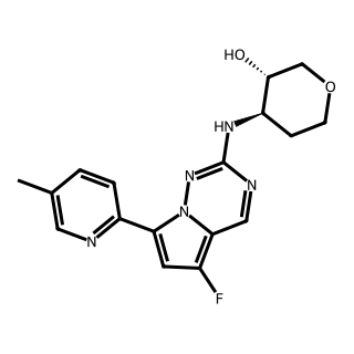 Cc1ccc(-c2cc(F)c3cnc(N[C@@H]4CCOC[C@H]4O)nn23)nc1